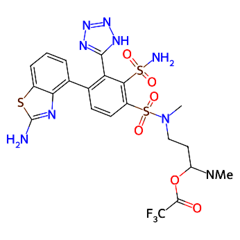 CNC(CCN(C)S(=O)(=O)c1ccc(-c2cccc3sc(N)nc23)c(-c2nnn[nH]2)c1S(N)(=O)=O)OC(=O)C(F)(F)F